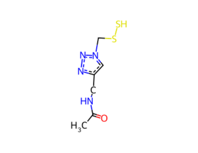 CC(=O)NCc1cn(CSS)nn1